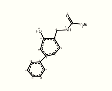 CCCCC(=O)NCc1ccc(-c2ccccc2)cc1O